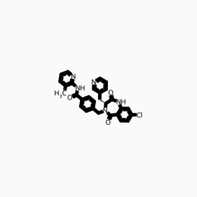 Cc1cccnc1NC(=O)c1ccc(CN2C(=O)c3ccc(Cl)cc3NC(=O)[C@H]2Cc2cccnc2)cc1